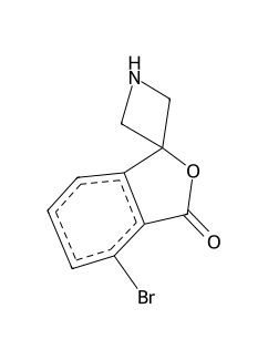 O=C1OC2(CNC2)c2cccc(Br)c21